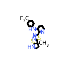 C[C@@]1(c2nnc(-c3ncccc3Nc3ccc(C(F)(F)F)cc3)s2)CCNC1=S